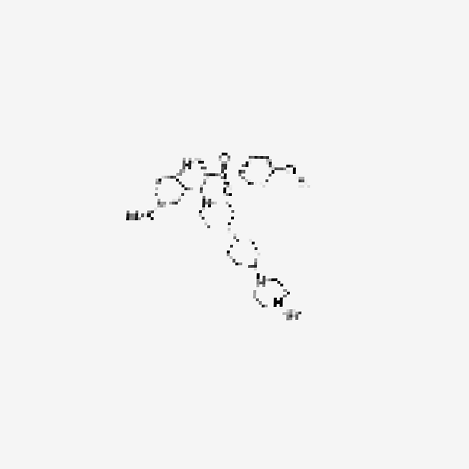 CCOc1ccc(S(=O)(=O)c2cnc3ccc(SC)cc3c2N2CCC(N3CCC(N4CCN(C(C)C)CC4)CC3)CC2)cc1